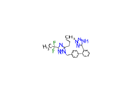 C/C=C/Cc1nc(C(C)(F)F)nn1Cc1ccc(-c2ccccc2-c2nnn[nH]2)cc1